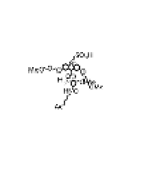 COCCOCCOc1ccc2c(c1)c(C(=O)Oc1c(C)cc(C(=O)NCCCCCC(C)=O)cc1COC)c1cc(OCCOCCOC)ccc1[n+]2CCCS(=O)(=O)O